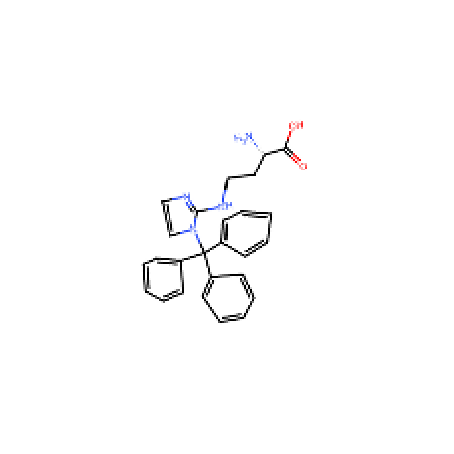 N[C@@H](CCNc1nccn1C(c1ccccc1)(c1ccccc1)c1ccccc1)C(=O)O